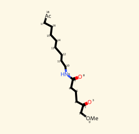 COCC(=O)CCCC(=O)NCCCCCCCCC(C)=O